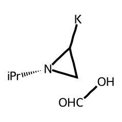 CC(C)[N@@]1C[CH]1[K].O=CO